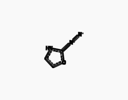 [N-]=[N+]=c1[nH]cco1